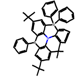 CC(C)(C)c1cc2c3c(c1)C(C)(C)c1cccc4c1N3c1c(cc(C(C)(C)C)cc1[Si]4(c1ccccc1)c1ccccc1)B2c1ccccc1